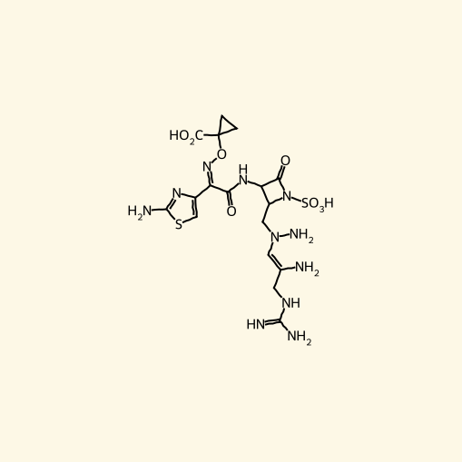 N=C(N)NC/C(N)=C/N(N)CC1C(NC(=O)/C(=N\OC2(C(=O)O)CC2)c2csc(N)n2)C(=O)N1S(=O)(=O)O